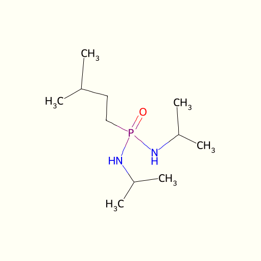 CC(C)CCP(=O)(NC(C)C)NC(C)C